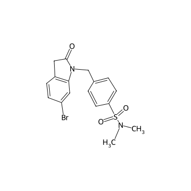 CN(C)S(=O)(=O)c1ccc(CN2C(=O)Cc3ccc(Br)cc32)cc1